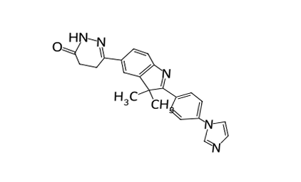 CC1(C)C(c2ccc(-n3ccnc3)cc2)=Nc2ccc(C3=NNC(=O)CC3)cc21